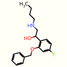 CCCCNCC(O)c1ccc(F)cc1OCc1ccccc1